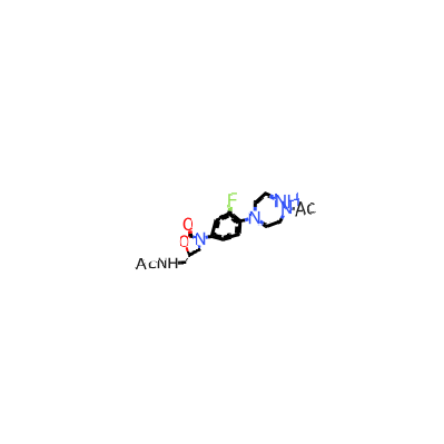 CC(=O)NC[C@H]1CN(c2ccc(N3CCNN(C(C)=O)CC3)c(F)c2)C(=O)O1